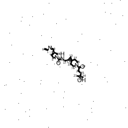 C=C/N=C\C1=CCN(C(=O)NCC2CC23CCN(C(=O)CCC(C)(C)O)CC3)C1